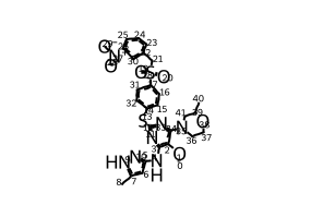 COc1c(Nc2cc(C)[nH]n2)nc(Sc2ccc(S(=O)(=O)Cc3cccc([N+](=O)[O-])c3)cc2)nc1N1CCOC(C)C1